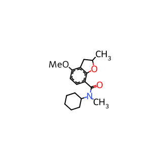 COc1ccc(C(=O)N(C)C2CCCCC2)c2c1CC(C)O2